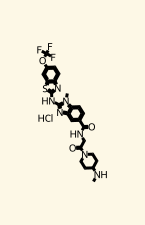 CNC1CCN(C(=O)CNC(=O)c2ccc3c(c2)nc(Nc2nc4ccc(OC(F)(F)F)cc4s2)n3C)CC1.Cl